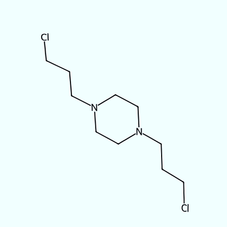 ClCCCN1CCN(CCCCl)CC1